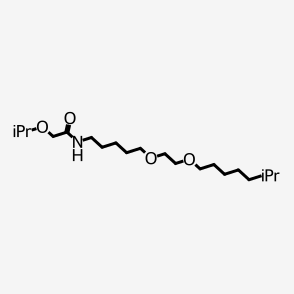 CC(C)CCCCCOCCOCCCCCNC(=O)COC(C)C